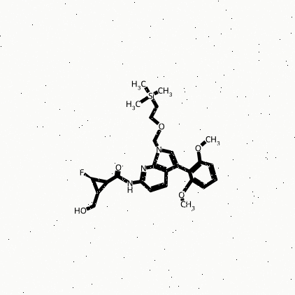 COc1cccc(OC)c1-c1cn(COCC[Si](C)(C)C)c2nc(NC(=O)C3C(CO)[C@H]3F)ccc12